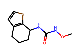 CONC(=O)NC1CCCc2ccsc21